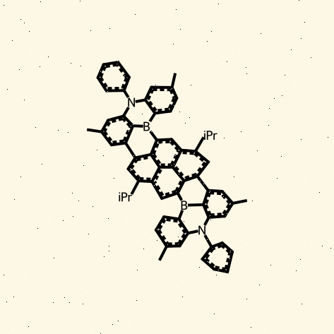 Cc1ccc2c(c1)N(c1ccccc1)c1cc(C)cc3c1B2c1cc2c(C(C)C)cc4c5c(cc6c(C(C)C)cc-3c1c6c25)B1c2ccc(C)cc2N(c2ccccc2)c2cc(C)cc-4c21